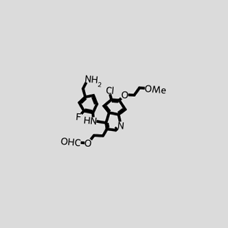 COCCOc1cc2ncc(CCOC=O)c(Nc3ccc(CN)cc3F)c2cc1Cl